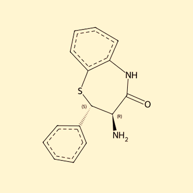 N[C@@H]1C(=O)Nc2ccccc2S[C@H]1c1ccccc1